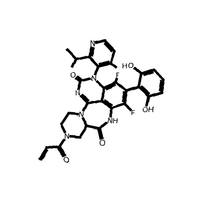 C=CC(=O)N1CCN2c3nc(=O)n(-c4c(C)ccnc4C(C)C)c4c(F)c(-c5c(O)cccc5O)c(F)c(c34)NC(=O)C2C1